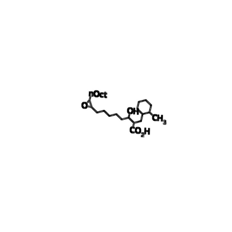 CCCCCCCCC1OC1CCCCCC(O)C(CC1CCCCC1C)C(=O)O